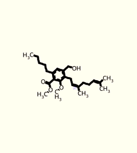 CCCCCc1cc(CO)c(C/C=C(/C)CCC=C(C)C)c(OC)c1C(=O)OC